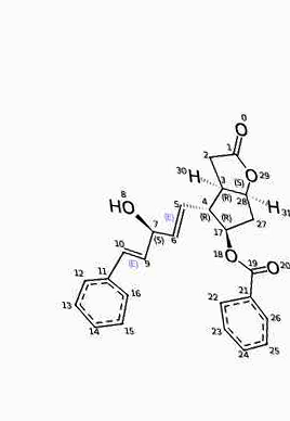 O=C1C[C@@H]2[C@@H](/C=C/[C@H](O)/C=C/c3ccccc3)[C@H](OC(=O)c3ccccc3)C[C@@H]2O1